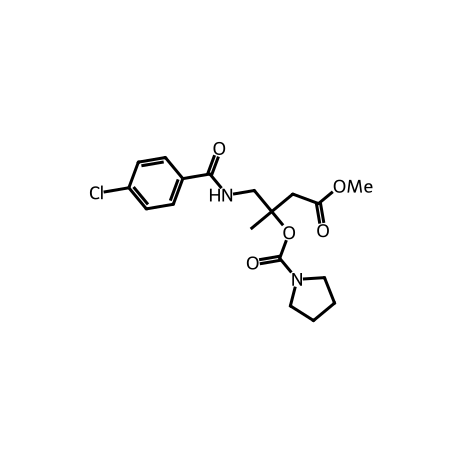 COC(=O)CC(C)(CNC(=O)c1ccc(Cl)cc1)OC(=O)N1CCCC1